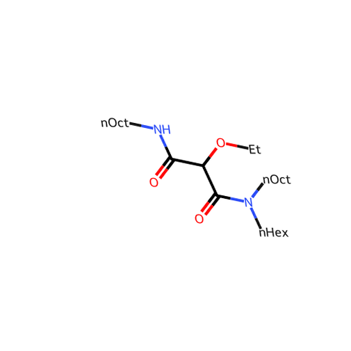 CCCCCCCCNC(=O)C(OCC)C(=O)N(CCCCCC)CCCCCCCC